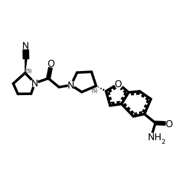 N#C[C@@H]1CCCN1C(=O)CN1CC[C@H](c2cc3cc(C(N)=O)ccc3o2)C1